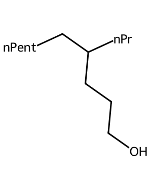 CCCCCCC(CCC)CCCO